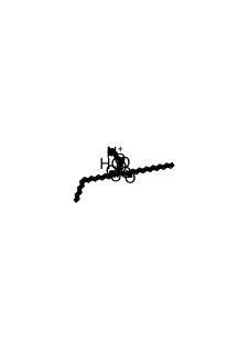 CCCCCC/C=C\CCCCCCCC(=O)O[C@H](COC(=O)CCCCCCCCCCCCC)COP(=O)(O)OCC[N+](C)(C)C